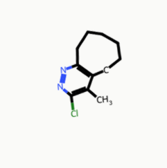 Cc1c(Cl)nnc2c1CCCCCC2